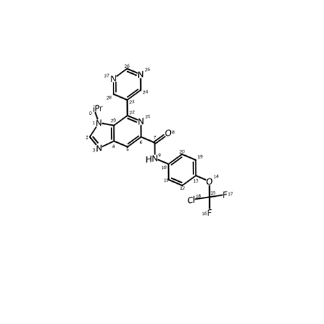 CC(C)n1cnc2cc(C(=O)Nc3ccc(OC(F)(F)Cl)cc3)nc(-c3cncnc3)c21